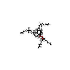 C=CCOCCCOC(F)(F)C1(F)CCC(F)(C(F)(F)OCC(F)(F)COCC=C)C2(F)C(F)(COCC(F)(F)COCC=C)C(F)(F)C(F)(F)C(F)(COC(F)(F)CCOCC=C)C12F